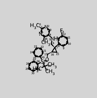 Cc1ncc(NC[C@@]2(c3cccc(F)c3)C[C@H]2CO[Si](c2ccccc2)(c2ccccc2)C(C)(C)C)c(C)n1